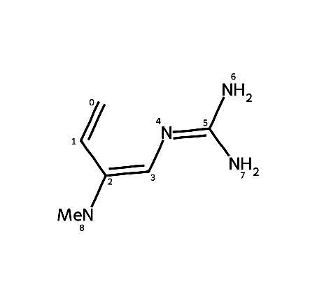 C=C/C(=C\N=C(N)N)NC